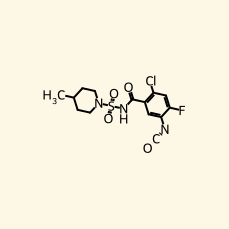 CC1CCN(S(=O)(=O)NC(=O)c2cc(N=C=O)c(F)cc2Cl)CC1